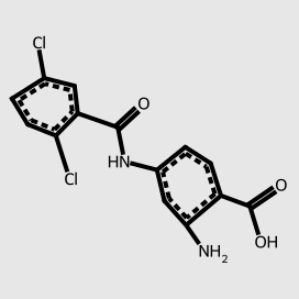 Nc1cc(NC(=O)c2cc(Cl)ccc2Cl)ccc1C(=O)O